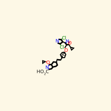 O=C(O)c1cc2ccc(C=CC34CCC(OCc5c(-c6c(Cl)cncc6Cl)noc5C5CC5)(CC3)CC4)cc2c(OC2CC2)n1